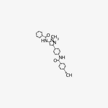 C#Cc1ccc(C(=O)Nc2ccc(-c3cc(NC(=O)c4ccccc4)n(C)n3)cc2)cc1